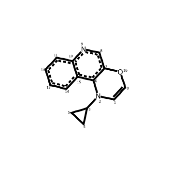 C1=CN(C2CC2)c2c(cnc3ccccc23)O1